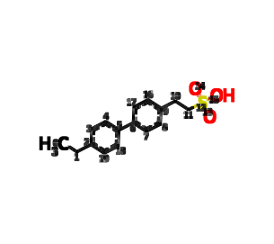 CCc1ccc(-c2ccc(CCS(=O)(=O)O)cc2)cc1